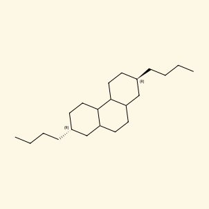 CCCC[C@@H]1CCC2C(CCC3C[C@H](CCCC)CCC32)C1